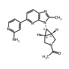 CC(=O)N1C[C@@H]2[C@H](C1)[C@@H]2n1c(C)nc2ccc(-c3ccnc(N)c3)nc21